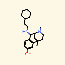 CN1CCC2(C)CC1C(NCCC1CCCCC1)c1ccc(O)cc12